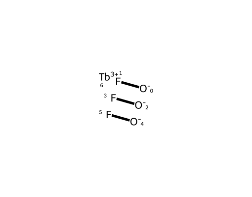 [O-]F.[O-]F.[O-]F.[Tb+3]